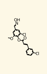 COc1cc(/C=N/O)cc(Cl)c1OC(=O)C=Cc1cccc(Cl)c1